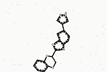 c1ccc2c(c1)OCC(c1nc3ccc(-c4cn[nH]c4)cc3o1)O2